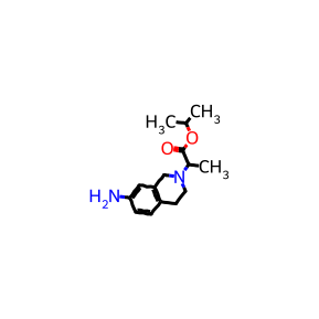 CC(C)OC(=O)C(C)N1CCc2ccc(N)cc2C1